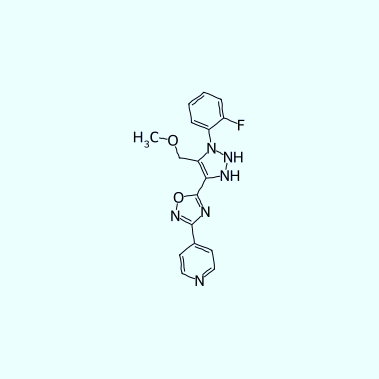 COCC1=C(c2nc(-c3ccncc3)no2)NNN1c1ccccc1F